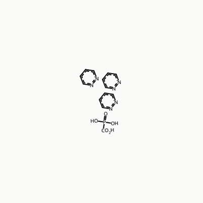 O=C(O)P(=O)(O)O.c1ccnnc1.c1ccnnc1.c1ccnnc1